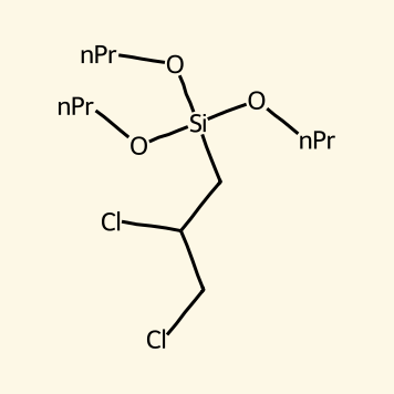 CCCO[Si](CC(Cl)CCl)(OCCC)OCCC